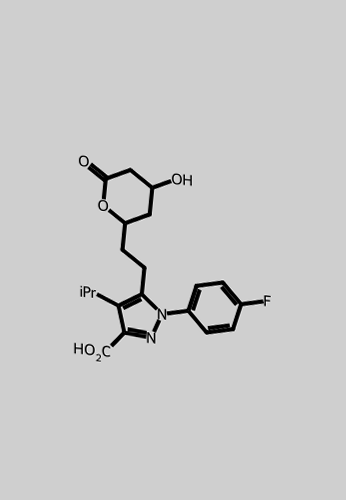 CC(C)c1c(C(=O)O)nn(-c2ccc(F)cc2)c1CCC1CC(O)CC(=O)O1